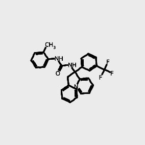 Cc1ccccc1NC(=O)NC(Cc1ccccc1)(c1cccc(C(F)(F)F)c1)c1ccccn1